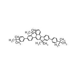 CC(C)(C)c1ccc(-c2ccc3c(c2)[Si](C)(C)c2cc4c5c(cccc5c2-3)[Si](C)(C)c2cc(-c3ccc(C(C)(C)C)cc3)ccc2-4)cc1